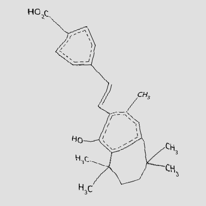 Cc1cc2c(c(O)c1C=Cc1ccc(C(=O)O)cc1)C(C)(C)CCC2(C)C